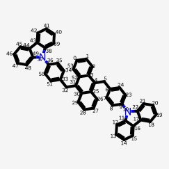 c1ccc2c(Cc3ccc(-n4c5ccccc5c5ccccc54)cc3)c3ccccc3c(Cc3ccc(-n4c5ccccc5c5ccccc54)cc3)c2c1